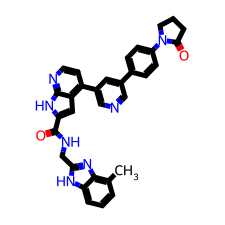 Cc1cccc2[nH]c(CNC(=O)c3cc4c(-c5cncc(-c6ccc(N7CCCC7=O)cc6)c5)ccnc4[nH]3)nc12